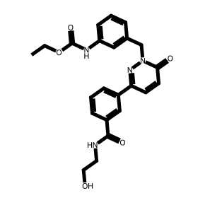 CCOC(=O)Nc1cccc(Cn2nc(-c3cccc(C(=O)NCCO)c3)ccc2=O)c1